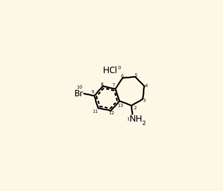 Cl.NC1CCCCc2cc(Br)ccc21